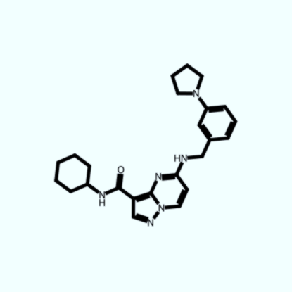 O=C(NC1CCCCC1)c1cnn2ccc(NCc3cccc(N4CCCC4)c3)nc12